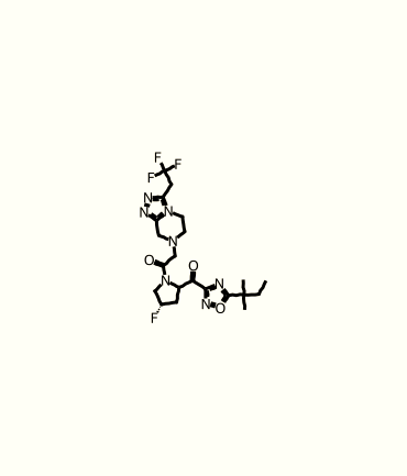 CCC(C)(C)c1nc(C(=O)C2C[C@H](F)CN2C(=O)CN2CCn3c(nnc3CC(F)(F)F)C2)no1